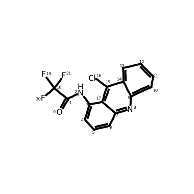 O=C(Nc1cccc2nc3ccccc3c(Cl)c12)C(F)(F)F